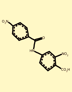 O=C(Nc1ccc(C(=O)O)c([N+](=O)[O-])c1)c1ccc([N+](=O)[O-])cc1